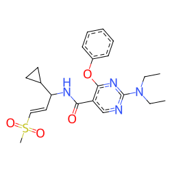 CCN(CC)c1ncc(C(=O)NC(/C=C/S(C)(=O)=O)C2CC2)c(Oc2ccccc2)n1